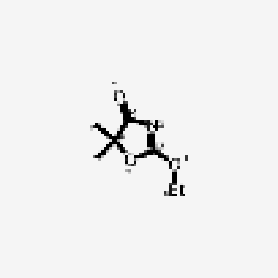 CCOC1=NC(=O)C(C)(C)O1